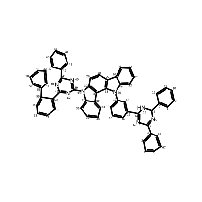 c1ccc(C2=NC(c3ccccc3)NC(c3cccc(-n4c5ccccc5c5ccc6c(c7ccccc7n6-c6nc(-c7ccccc7)nc(-c7ccccc7-c7ccccc7)n6)c54)c3)=N2)cc1